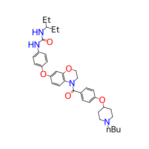 CCCCN1CCC(Oc2ccc(C(=O)N3CCOc4cc(Oc5ccc(NC(=O)NC(CC)CC)cc5)ccc43)cc2)CC1